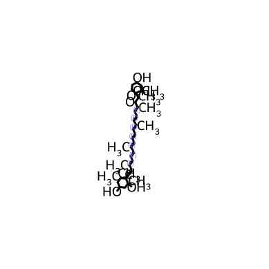 C\C(C=C=C1C(C)(C)CC(O)CC1(C)O)=C/C=C/C(C)=C/C=C/C=C(C)/C=C/C=C(\C)C(=O)CC12OC1(C)CC(O)CC2(C)C